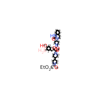 Bc1cc(C[C@@H](OC(=O)N2CCC(N3CCc4ccccc4NC3=O)CC2)C(=O)N2CCC(C3CCN(C(=O)C(=O)OCC)CC3)CC2)ccc1O